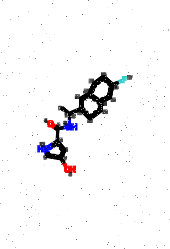 C[C@H](NC(=O)c1cc(O)c[nH]1)c1ccc2cc(F)ccc2c1